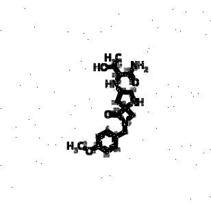 COc1ccc(CN2CC3(CC(NC(C(N)=O)C(C)O)CN3)C2=O)cc1